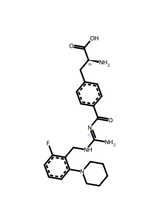 N/C(=N\C(=O)c1ccc(C[C@H](N)C(=O)O)cc1)NCc1c(F)cccc1N1CCCCC1